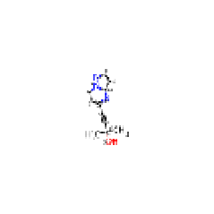 CC(C)(O)C#Cc1ccn2nccc2n1